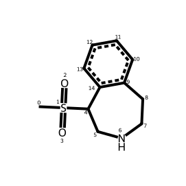 CS(=O)(=O)C1CNCCc2ccccc21